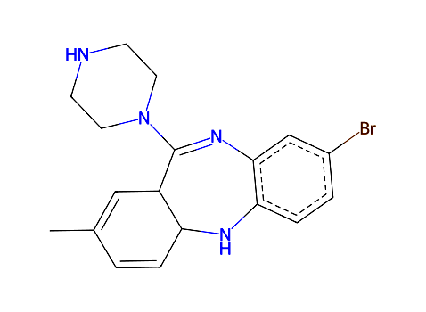 CC1=CC2C(N3CCNCC3)=Nc3cc(Br)ccc3NC2C=C1